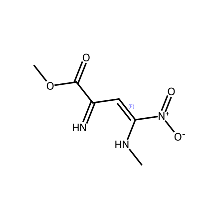 CN/C(=C\C(=N)C(=O)OC)[N+](=O)[O-]